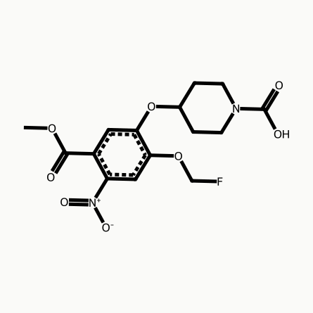 COC(=O)c1cc(OC2CCN(C(=O)O)CC2)c(OCF)cc1[N+](=O)[O-]